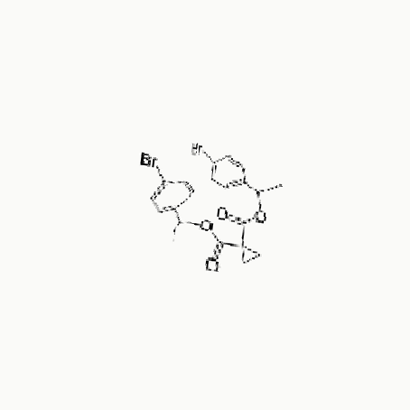 CC(OC(=O)C1(C(=O)OC(C)c2ccc(Br)cc2)CC1)c1ccc(Br)cc1